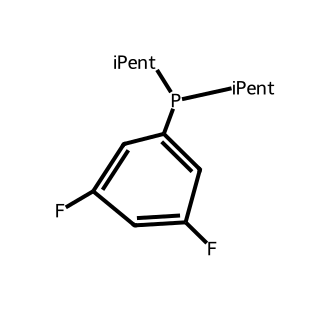 CCCC(C)P(c1cc(F)cc(F)c1)C(C)CCC